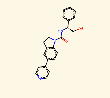 O=C(N[C@H](CO)c1ccccc1)N1CCc2cc(-c3ccncc3)ccc21